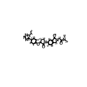 CCn1nnnc1-c1ccc(O[C@@H]2CCN(c3ccc4c(c3)C(=O)N(CC(=O)N(C)C)C4)C2=O)cc1